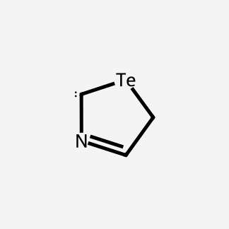 [C]1N=CC[Te]1